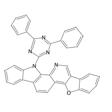 c1ccc(-c2nc(-c3ccccc3)nc(-n3c4ccccc4c4ccc5c(ncc6c7ccccc7oc65)c43)n2)cc1